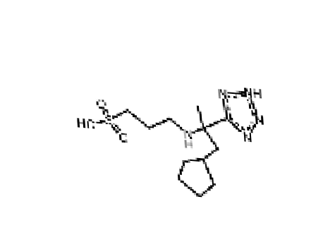 CC(CC1CCCC1)(NCCCS(=O)(=O)O)c1nn[nH]n1